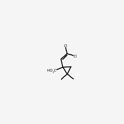 CC1(C)CC1(C=C(Cl)Cl)C(=O)O